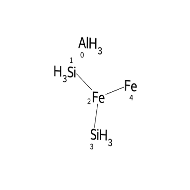 [AlH3].[SiH3][Fe]([SiH3])[Fe]